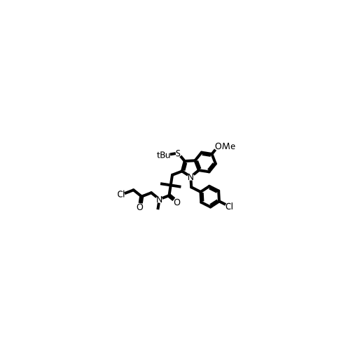 COc1ccc2c(c1)c(SC(C)(C)C)c(CC(C)(C)C(=O)N(C)CC(=O)CCl)n2Cc1ccc(Cl)cc1